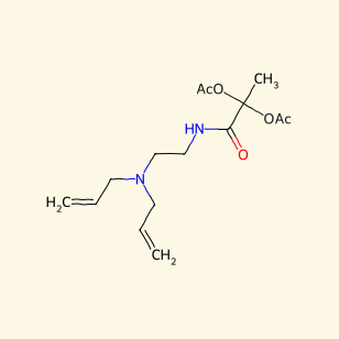 C=CCN(CC=C)CCNC(=O)C(C)(OC(C)=O)OC(C)=O